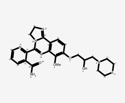 COc1c(OCC(O)CN2CCSCC2)ccc2c1N=C(c1ncccc1C(N)=O)N1CCN=C21